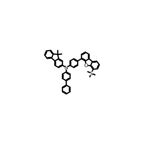 CC1(C)c2ccccc2-c2ccc(N(c3ccc(-c4ccccc4)cc3)c3ccc(-c4cccc5c4oc4c(S(C)(C)C)cccc45)cc3)cc21